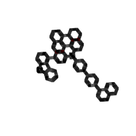 c1ccc(N(c2ccc(-c3ccc(-c4cccc5ccccc45)cc3)cc2)c2ccc(-c3cccc4oc5ccccc5c34)cc2)c(-c2cccc3cccc(C4CCCCC4)c23)c1